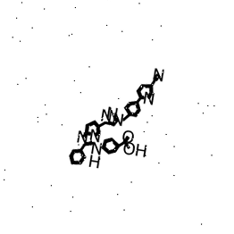 N#Cc1ccc(-c2ccc(Cn3cc(-c4ccc5nc(-c6ccccc6)c(Nc6ccc(C(=O)O)cc6)n5c4)nn3)cc2)nc1